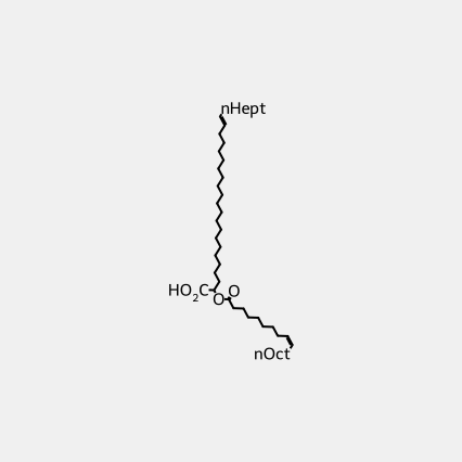 CCCCCCCC=CCCCCCCCCCCCCCCCCCCC(OC(=O)CCCCCCC/C=C\CCCCCCCC)C(=O)O